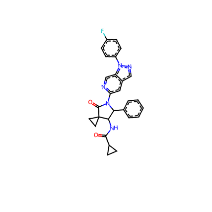 O=C(NC1C(c2ccccc2)N(c2cc3cnn(-c4ccc(F)cc4)c3cn2)C(=O)C12CC2)C1CC1